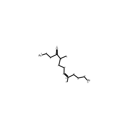 CC(=O)CCC(=O)C(C)CCC=C(C)CCCC(C)C